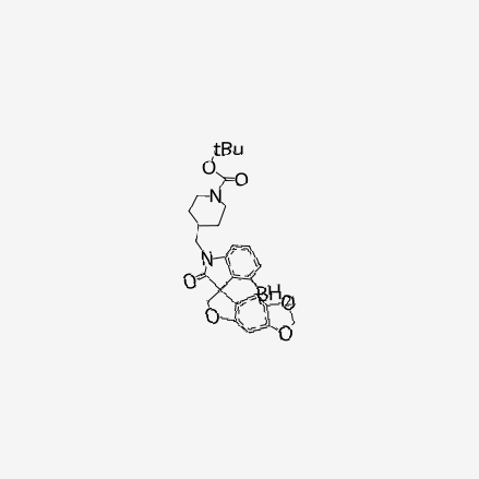 Bc1cccc2c1C1(COc3cc4c(cc31)OCO4)C(=O)N2CC1CCN(C(=O)OC(C)(C)C)CC1